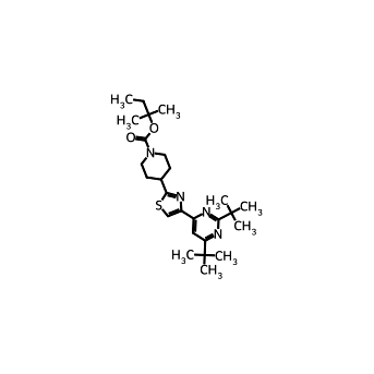 CCC(C)(C)OC(=O)N1CCC(c2nc(-c3cc(C(C)(C)C)nc(C(C)(C)C)n3)cs2)CC1